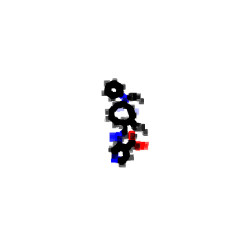 C=C1/C=C\C(N(C)c2ccccc2)=C/CCC[C@@H]1CNc1cnccc1C(=O)O